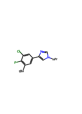 CCCn1cnc(-c2cc(Cl)c(F)c(C(C)(C)C)c2)c1